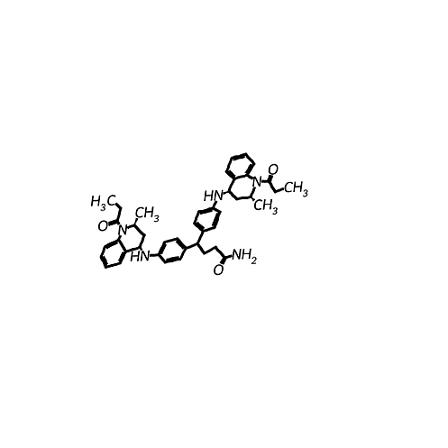 CCC(=O)N1c2ccccc2[C@H](Nc2ccc(C(CCC(N)=O)c3ccc(N[C@@H]4C[C@H](C)N(C(=O)CC)c5ccccc54)cc3)cc2)C[C@@H]1C